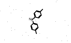 Cc1ccc([P-]c2ccc(C)cc2)cc1.[Na+]